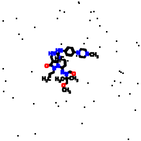 C=CCn1c(=O)c2c(n1C(/C=C\C)=N/N(C=O)C(C)(C)COC)N=C(Nc1ccc(N3CCN(C)CC3)cc1)NC2